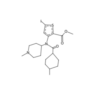 COC(=O)c1sc(I)cc1N(C(=O)C1CCC(C)CC1)C1CCN(C)CC1